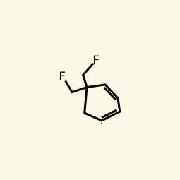 FCC1(CF)C=CC=[C]C1